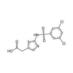 O=C(O)Cc1cnc(NS(=O)(=O)c2cc(Cl)cc(Cl)c2)s1